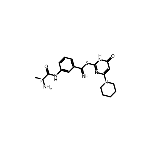 C[C@H](N)C(=O)Nc1cccc(C(=N)Sc2nc(N3CCCCC3)cc(=O)[nH]2)c1